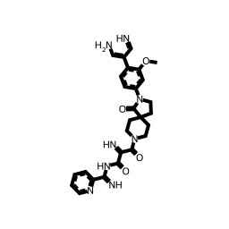 COc1cc(N2CCC3(CCN(C(=O)C(=N)C(=O)NC(=N)c4ccccn4)CC3)C2=O)ccc1/C(C=N)=C/N